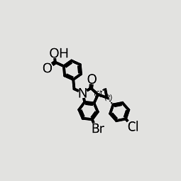 O=C(O)c1cccc(CN2C(=O)[C@]3(C[C@@H]3c3ccc(Cl)cc3)c3cc(Br)ccc32)c1